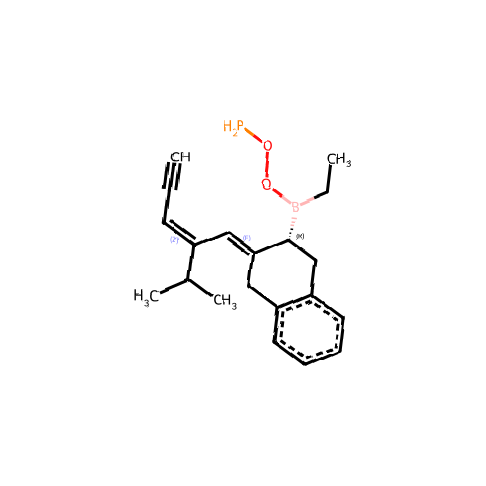 C#C/C=C(\C=C1/Cc2ccccc2C[C@H]1B(CC)OOP)C(C)C